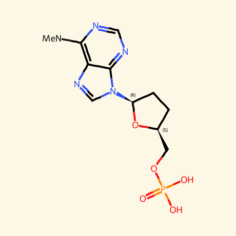 CNc1ncnc2c1ncn2[C@H]1CC[C@@H](COP(=O)(O)O)O1